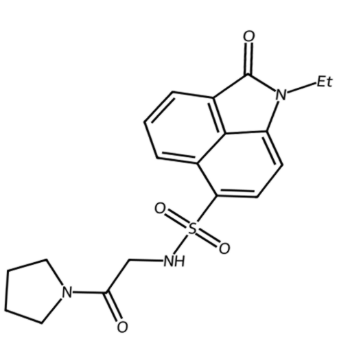 CCN1C(=O)c2cccc3c(S(=O)(=O)NCC(=O)N4CCCC4)ccc1c23